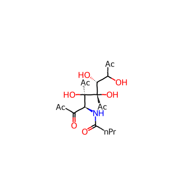 CCCC(=O)N[C@@H](C(=O)C(C)=O)[C@](O)(C(C)=O)[C@](O)(C(C)=O)[C@H](O)C(O)C(C)=O